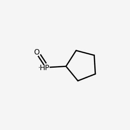 O=[PH]C1CCCC1